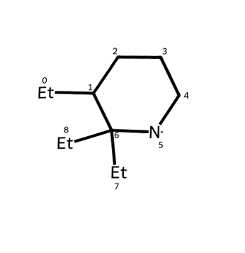 CCC1CCC[N]C1(CC)CC